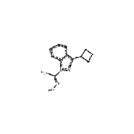 N/C(=N\O)n1nc(C2CCC2)c2ccccc21